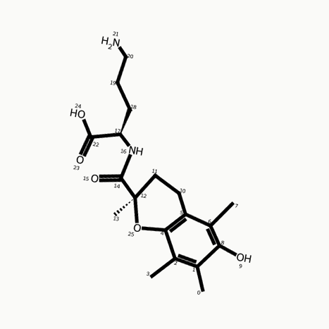 Cc1c(C)c2c(c(C)c1O)CC[C@](C)(C(=O)N[C@H](CCCN)C(=O)O)O2